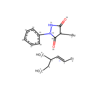 CC/C=C/C(CC(=O)O)C(=O)O.CCCCC1C(=O)NN(c2ccccc2)C1=O